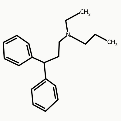 CCCN(CC)CCC(c1ccccc1)c1ccccc1